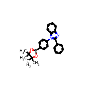 CC1(C)OB(c2ccc(-n3c(-c4ccccc4)nc4ccccc43)cc2)OC1(C)C